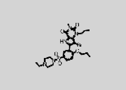 CCCOc1ccc(S(=O)(=O)N2CCN(CC)CC2)cc1-c1[nH]c2c(=O)n(C)c(=O)n(CCC)c2c1Br